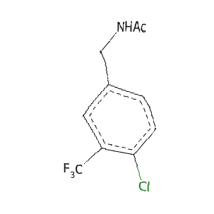 CC(=O)NCc1ccc(Cl)c(C(F)(F)F)c1